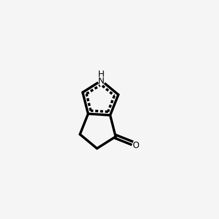 O=C1CCc2c[nH]cc21